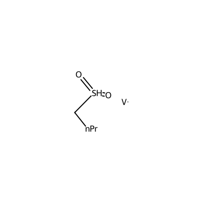 CCCC[SH](=O)=O.[V]